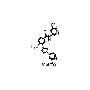 CNC(=O)c1cc(N2CC[C@@H](c3cc(C(=O)Nc4cncc(C(F)(F)F)c4)ccc3C)C2)ccn1